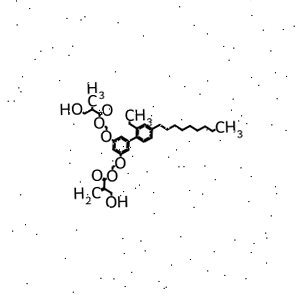 C=C(CO)C(=O)OCOc1cc(OCOC(=O)C(C)CO)cc(-c2ccc(CCCCCCCCC)cc2CC)c1